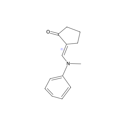 CN(/C=C1\CCCC1=O)c1ccccc1